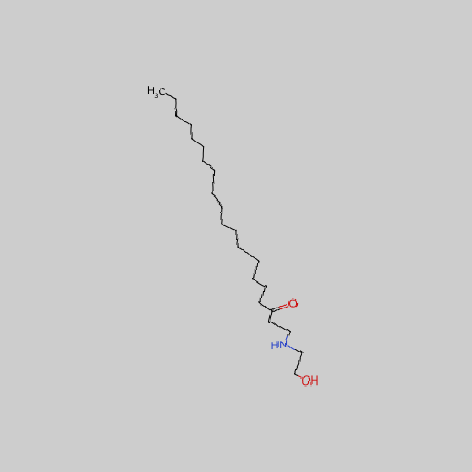 CCCCCCCCCCCCCCCCCC(=O)CCNCCO